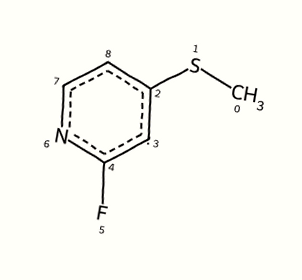 CSc1[c]c(F)ncc1